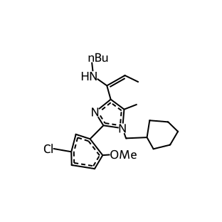 C/C=C(/NCCCC)c1nc(-c2cc(Cl)ccc2OC)n(CC2CCCCC2)c1C